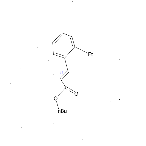 CCCCOC(=O)/C=C/c1ccccc1CC